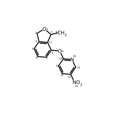 CC1OCc2cccc(Oc3ccc([N+](=O)[O-])cn3)c21